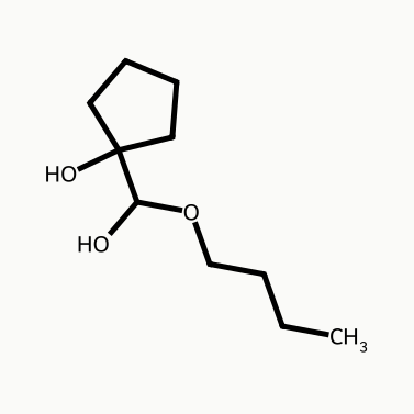 CCCCOC(O)C1(O)CCCC1